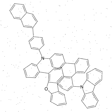 c1ccc(-c2ccccc2-n2c3ccccc3c3ccccc32)c(-c2ccc(N(c3ccc(-c4ccc5ccccc5c4)cc3)c3ccccc3-c3cccc4c3oc3ccccc34)cc2)c1